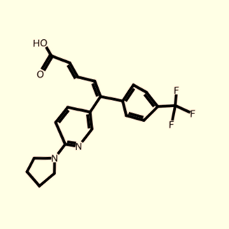 O=C(O)/C=C/C=C(/c1ccc(C(F)(F)F)cc1)c1ccc(N2CCCC2)nc1